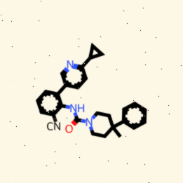 CC1(c2ccccc2)CCN(C(=O)Nc2c(C#N)cccc2-c2ccc(C3CC3)nc2)CC1